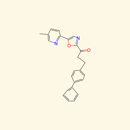 Cc1ccc(-c2cnc(C(=O)CCc3ccc(-c4ccccc4)cc3)o2)nc1